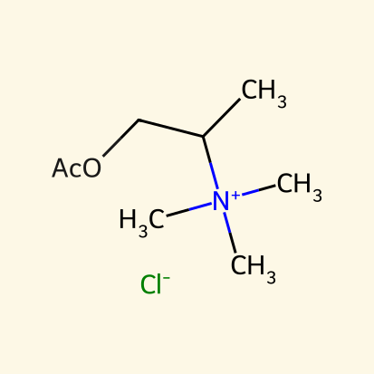 CC(=O)OCC(C)[N+](C)(C)C.[Cl-]